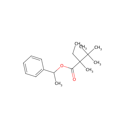 CCC(C)(C(=O)OC(C)c1ccccc1)C(C)(C)C